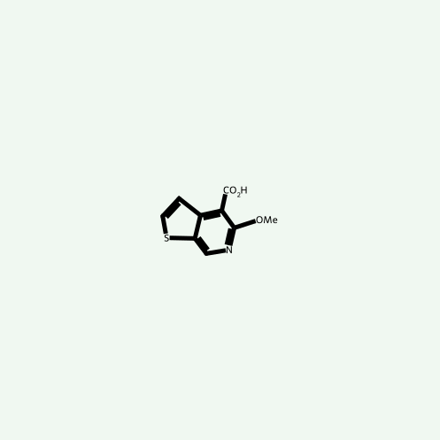 COc1ncc2sccc2c1C(=O)O